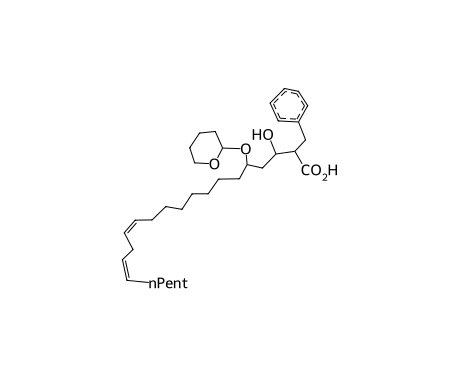 CCCCC/C=C\C/C=C\CCCCCCCC(CC(O)C(Cc1ccccc1)C(=O)O)OC1CCCCO1